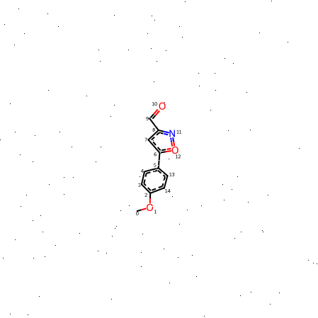 COc1ccc(-c2cc(C=O)no2)cc1